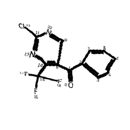 O=C(c1ccccc1)c1cnc(Cl)nc1C(F)(F)F